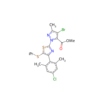 COC(=O)c1c(Br)c(C)nn1-c1nc(-c2c(C)cc(Cl)cc2C)c(SC(C)C)s1